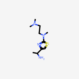 CC(N)c1csc(N(C)CCN(C)C)n1